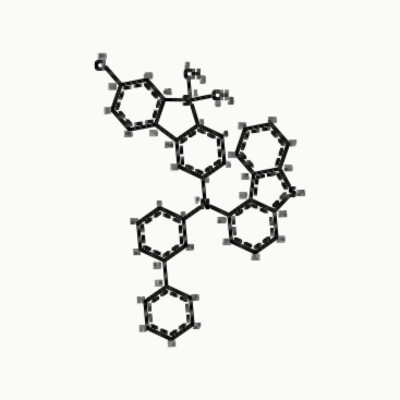 C[Si]1(C)c2ccc(N(c3cccc(-c4ccccc4)c3)c3cccc4sc5ccccc5c34)cc2-c2ccc(Cl)cc21